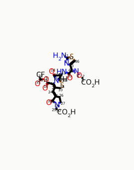 Nc1nc(/C(=N/OCC(=O)O)C(=O)N[C@@H]2C(=O)N3C(C(=O)OC(=O)C(F)(F)F)=C(C=C4CCN(CC(=O)O)C4=O)CS[C@H]23)cs1